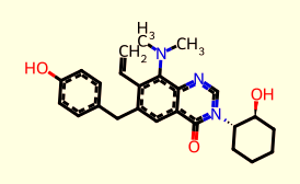 C=Cc1c(Cc2ccc(O)cc2)cc2c(=O)n([C@H]3CCCC[C@@H]3O)cnc2c1N(C)C